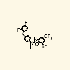 Fc1ccc(Sc2ccc(Nc3nc4cc(C(F)(F)F)cc(Br)c4o3)cc2)c(F)c1